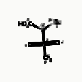 CC[C@@H](C)[C@@H](C(=O)O)S(=O)(=O)C(F)(F)F